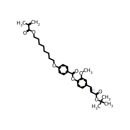 C=C(C)C(=O)OCCCCCCCCOc1ccc(C(=O)Oc2ccc(/C=C/C(=O)OC(C)(C)C)cc2OC)cc1